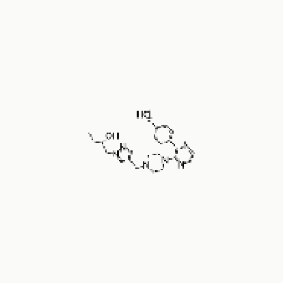 CCC(O)Cn1cc(CN2CCN(c3nccnc3-c3ccc(F)cc3)CC2)cn1.Cl